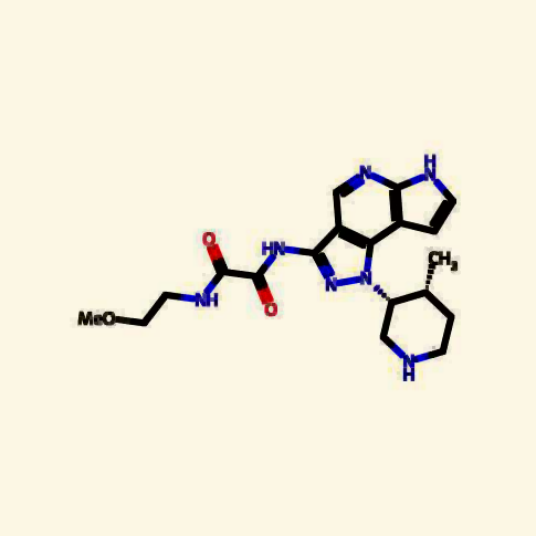 COCCNC(=O)C(=O)Nc1nn([C@H]2CNCC[C@H]2C)c2c1cnc1[nH]ccc12